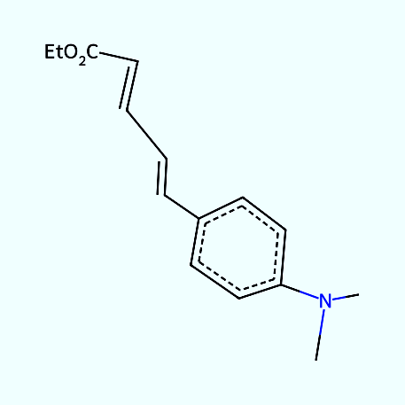 CCOC(=O)/C=C/C=C/c1ccc(N(C)C)cc1